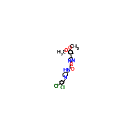 COc1ccc(-c2cnc(OCC(=O)NCC3CCCN(Cc4ccc(Cl)c(Cl)c4)C3)nc2)cc1OC